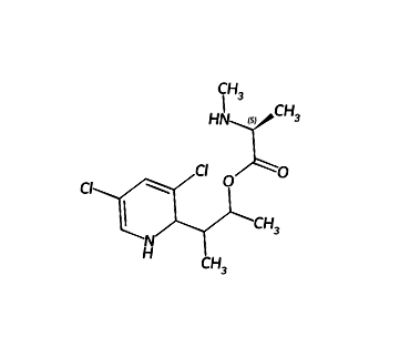 CN[C@@H](C)C(=O)OC(C)C(C)C1NC=C(Cl)C=C1Cl